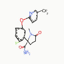 CN1C(=O)CCC1(C(N)=O)c1cc(Oc2ccc(C(F)(F)F)cn2)ccc1F